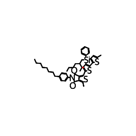 CCCCCCCCc1ccc(N2C(=O)c3c(C)sc(-c4cc5c(s4)-c4sc(C)cc4[Si]5(CC(CC)CCCC)c4ccccc4)c3C2=O)cc1